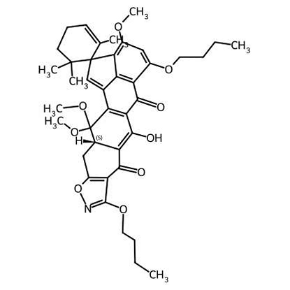 CCCCOc1cc(OC)c2c3c1C(=O)C1=C(C3=CC23C(C)=CCCC3(C)C)C(OC)(OC)[C@H]2Cc3onc(OCCCC)c3C(=O)C2=C1O